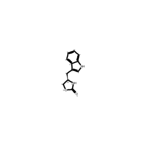 O=C1N[C@H](Cc2c[nH]c3ccccc23)CO1